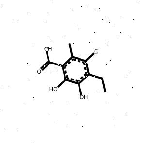 CCc1c(O)c(O)c(C(=O)O)c(C)c1Cl